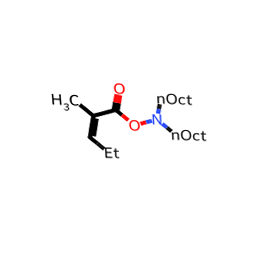 CCC=C(C)C(=O)ON(CCCCCCCC)CCCCCCCC